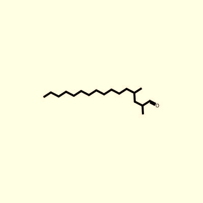 CCCCCCCCCCCCC(C)CC(C)[C]=O